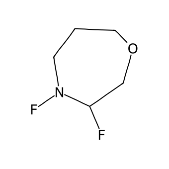 FC1COCCCN1F